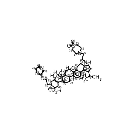 C=C(C)[C@@H]1CC[C@]2(NCCN3CCS(=O)(=O)CC3)CC[C@]3(C)[C@H](CC[C@@H]4[C@@]5(C)CC=C(C6=CC[C@@](CCOc7cnccn7)(C(=O)O)CC6)C(C)(C)[C@@H]5CC[C@]43C)[C@@H]12